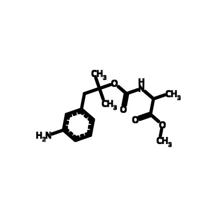 COC(=O)C(C)NC(=O)OC(C)(C)Cc1cccc(N)c1